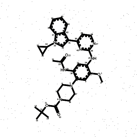 COc1cc(N2CCN(C(=O)OC(C)(C)C)CC2)c(NC(C)=O)cc1Nc1nccc(-c2cn(C3CC3)c3ccccc23)n1